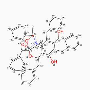 CCOC(Cc1ccccc1)(O[C](Cc1ccccc1)c1c(O)c(Cc2ccccc2)c(CO)c(Cc2ccccc2)c1N(C=O)Cc1ccccc1)C1CC1